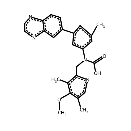 COc1c(C)cnc(CN(C(=O)O)c2cc(C)cc(-c3ccc4nccnc4c3)c2)c1C